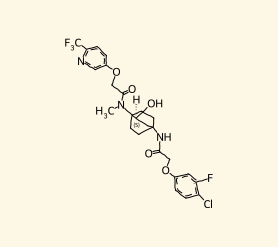 CN(C(=O)COc1ccc(C(F)(F)F)nc1)C12CCC(NC(=O)COc3ccc(Cl)c(F)c3)(CC1)C[C@@H]2O